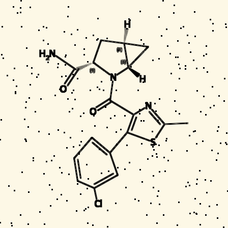 Cc1nc(C(=O)N2[C@H](C(N)=O)C[C@H]3C[C@@H]32)c(-c2cccc(Cl)c2)s1